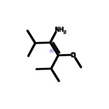 CO/C(=C(\N)C(C)C)C(C)C